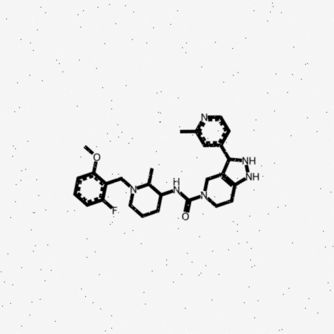 COc1cccc(F)c1CN1CCCC(NC(=O)N2CCC3=C(C2)C(c2ccnc(C)c2)NN3)C1C